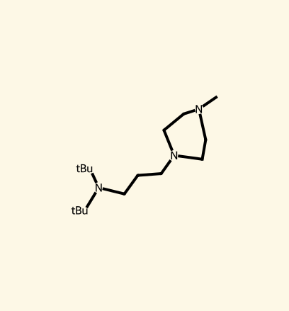 CN1CCN(CCCN(C(C)(C)C)C(C)(C)C)CC1